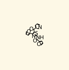 O=C(Nc1nc(-c2ccco2)c(C(=O)c2cccnc2)s1)c1ccco1